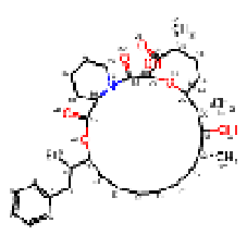 CC[C@H](Cc1ccccc1)[C@@H]1CCCCCC[C@@H](C)[C@H](O)[C@@H](C)[C@@H]2CC[C@@H](C)C(=O)C(O)(O2)C(=O)N2CCCCC2C(=O)O1